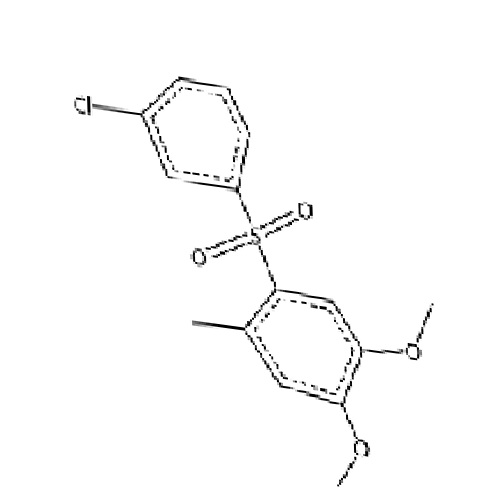 COc1cc(C)c(S(=O)(=O)c2cccc(Cl)c2)cc1OC